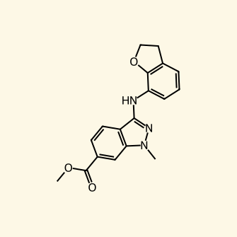 COC(=O)c1ccc2c(Nc3cccc4c3OCC4)nn(C)c2c1